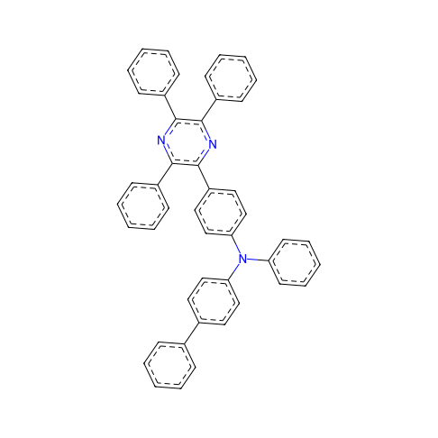 c1ccc(-c2ccc(N(c3ccccc3)c3ccc(-c4nc(-c5ccccc5)c(-c5ccccc5)nc4-c4ccccc4)cc3)cc2)cc1